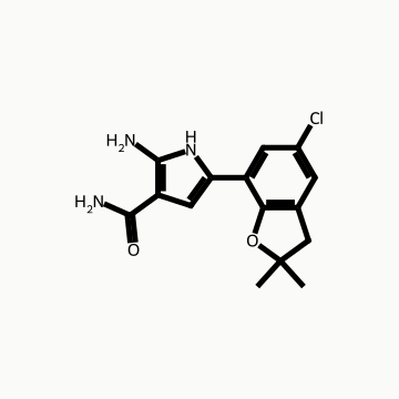 CC1(C)Cc2cc(Cl)cc(-c3cc(C(N)=O)c(N)[nH]3)c2O1